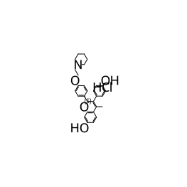 CC1=C(c2ccc(O)cc2)[C@H](c2ccc(OCCN3CCCCC3)cc2)Oc2cc(O)ccc21.Cl